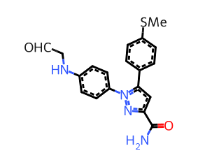 CSc1ccc(-c2cc(C(N)=O)nn2-c2ccc(NCC=O)cc2)cc1